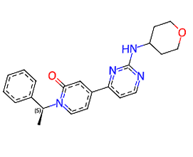 C[C@@H](c1ccccc1)n1ccc(-c2ccnc(NC3CCOCC3)n2)cc1=O